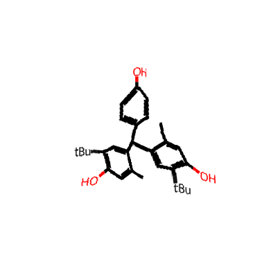 Cc1cc(O)c(C(C)(C)C)cc1C(c1ccc(O)cc1)c1cc(C(C)(C)C)c(O)cc1C